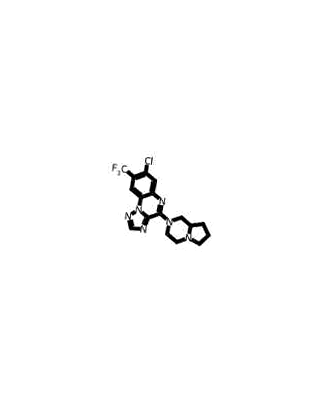 FC(F)(F)c1cc2c(cc1Cl)nc(N1CCN3CCCC3C1)c1ncnn12